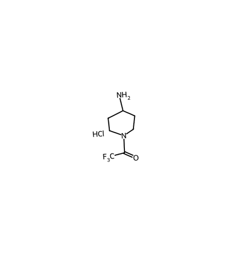 Cl.NC1CCN(C(=O)C(F)(F)F)CC1